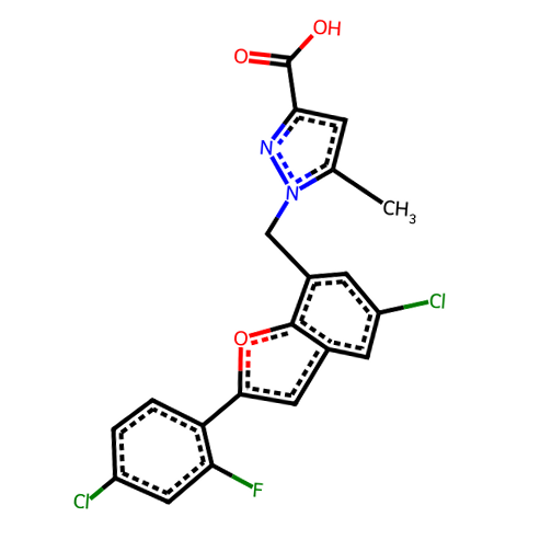 Cc1cc(C(=O)O)nn1Cc1cc(Cl)cc2cc(-c3ccc(Cl)cc3F)oc12